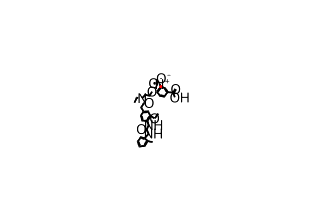 CCN(CCOc1ccc(C(=O)O)cc1[N+](=O)[O-])C(=O)Cc1ccc(NC(=O)Nc2ccccc2C)c(OC)c1